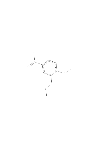 CCCc1cc([N+](=O)[O-])ccc1OC